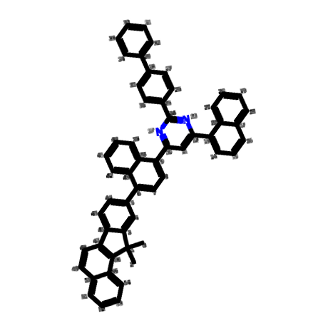 CC1(C)c2cc(-c3ccc(-c4cc(-c5cccc6ccccc56)nc(-c5ccc(-c6ccccc6)cc5)n4)c4ccccc34)ccc2-c2ccc3ccccc3c21